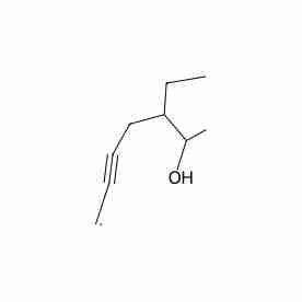 [CH2]C#CCC(CC)C(C)O